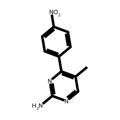 Cc1cnc(N)nc1-c1ccc([N+](=O)[O-])cc1